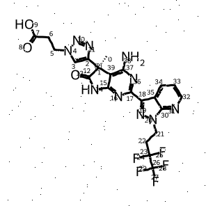 C[C@@]1(c2cn(CCC(=O)O)nn2)C(=O)Nc2nc(-c3nn(CCC(F)(F)C(F)(F)F)c4ncccc34)nc(N)c21